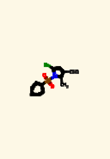 Cc1c(C=O)cc(Br)n1S(=O)(=O)c1ccccc1